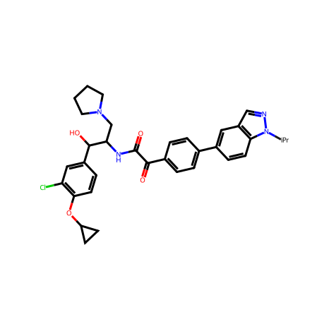 CC(C)n1ncc2cc(-c3ccc(C(=O)C(=O)NC(CN4CCCC4)C(O)c4ccc(OC5CC5)c(Cl)c4)cc3)ccc21